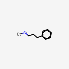 CC[N]CCCc1ccccc1